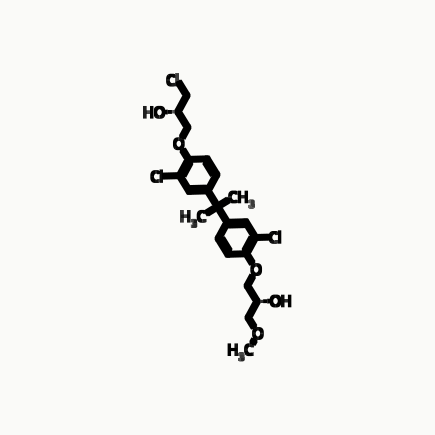 COC[C@@H](O)COc1ccc(C(C)(C)c2ccc(OC[C@H](O)CCl)c(Cl)c2)cc1Cl